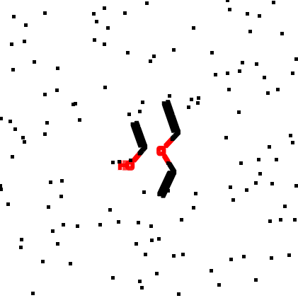 C=CO.C=COC=C